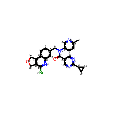 Cc1ccc(N(Cc2ccc3c4c(c(Br)nc3c2)COC4)C(=O)c2cnc(C3CC3)nc2)cn1